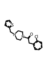 O=C(Cc1ccccc1Cl)N1CCN(Cc2cccs2)CC1